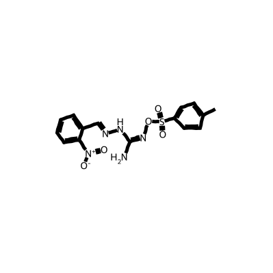 Cc1ccc(S(=O)(=O)ON=C(N)NN=Cc2ccccc2[N+](=O)[O-])cc1